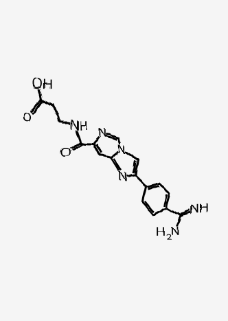 N=C(N)c1ccc(-c2cn3cnc(C(=O)NCCC(=O)O)cc3n2)cc1